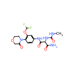 CNC(=O)N[C@@H](C(N)=O)C(=O)Nc1ccc(N2CCOCC2=O)c(OC(F)F)c1